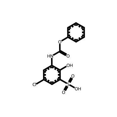 O=C(Nc1cc(Cl)cc(S(=O)(=O)O)c1O)Oc1ccccc1